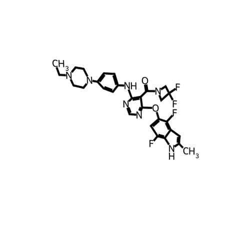 CCN1CCN(c2ccc(Nc3ncnc(Oc4cc(F)c5[nH]c(C)cc5c4F)c3C(=O)N3CC(F)(F)C3)cc2)CC1